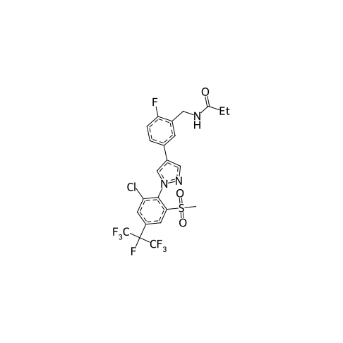 CCC(=O)NCc1cc(-c2cnn(-c3c(Cl)cc(C(F)(C(F)(F)F)C(F)(F)F)cc3S(C)(=O)=O)c2)ccc1F